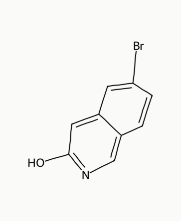 Oc1cc2cc(Br)ccc2cn1